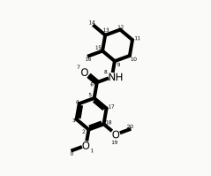 COc1ccc(C(=O)NC2CCCC(C)C2C)cc1OC